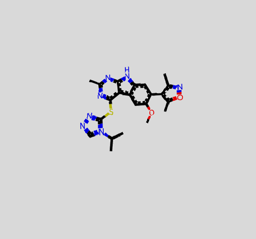 COc1cc2c(cc1-c1c(C)noc1C)[nH]c1nc(C)nc(Sc3nncn3C(C)C)c12